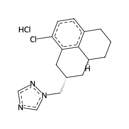 Cl.Clc1ccc2c3c1C[C@@H](Cn1cncn1)C[C@@H]3CCC2